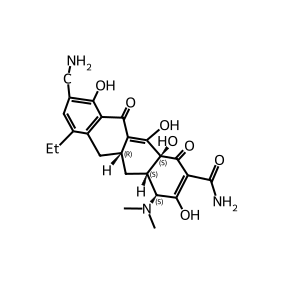 CCc1cc(CN)c(O)c2c1C[C@H]1C[C@H]3[C@H](N(C)C)C(O)=C(C(N)=O)C(=O)[C@@]3(O)C(O)=C1C2=O